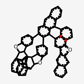 C1=c2ccccc2=CC2c3cc(-c4cc5cc6ccccc6c(-c6ccccc6)c5c(-c5ccc6oc7cc8ccccc8cc7c6c5)c4-c4ccc5c(c4)C4C=c6ccccc6=CC4O5)ccc3OC12